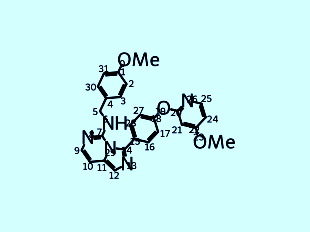 COc1ccc(CNc2nccc3cnc(-c4ccc(Oc5cc(OC)ccn5)cc4)n23)cc1